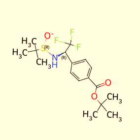 CC(C)(C)OC(=O)c1ccc([C@@H](N[S@@+]([O-])C(C)(C)C)C(F)(F)F)cc1